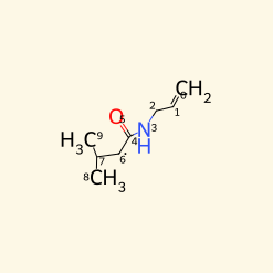 C=CCNC(=O)[CH]C(C)C